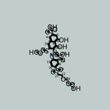 O=S(=O)(O)c1cc(O)c2c(O)c(/N=N/c3ccc(S(=O)(=O)CCOSOOO)cc3S(=O)(=O)O)c(SOOO)cc2c1